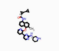 Cc1ccc2c(NC(=O)[C@@H]3CC3C3CC3)cccc2c1Oc1ncccc1-c1ccnc(N[C@H]2CCCNC2)n1